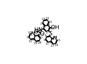 O=S(=O)(Nc1cc(Sc2cccc3cccnc23)c(O)c2ccccc12)c1cccc2cccnc12